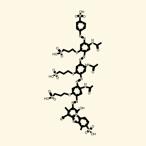 CC(=O)Nc1cc(N=Nc2cc(SCCCS(=O)(=O)O)c(N=Nc3cc(OCCCS(=O)(=O)O)c(N=Nc4c(C)c(C#N)c5nc6c(C)c(S(=O)(=O)O)ccc6n5c4O)cc3NC(C)=O)cc2NC(C)=O)c(SCCCS(=O)(=O)O)cc1N=Nc1ccc(S(=O)(=O)O)cc1